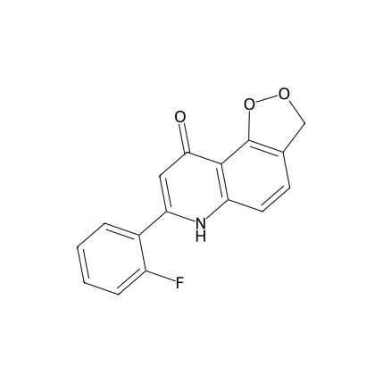 O=c1cc(-c2ccccc2F)[nH]c2ccc3c(c12)OOC3